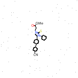 COC(=O)CCn1cc(-c2ccc(-c3ccc(C#N)cc3)cc2)n(-c2ccccc2)c1=S